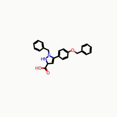 O=C(O)C1C=C(c2ccc(OCc3ccccc3)cc2)N(Cc2ccccc2)N1